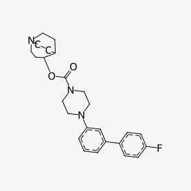 O=C(OC1CCN2CCC1CC2)N1CCN(c2cccc(-c3ccc(F)cc3)c2)CC1